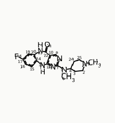 CN1CCC(N(C)c2ncc3c(n2)Nc2ccc(F)cc2NC3=O)CC1